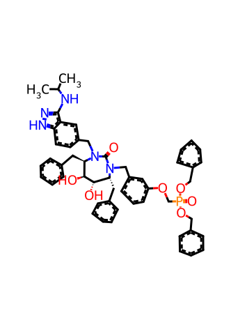 CC(C)Nc1n[nH]c2ccc(CN3C(=O)N(Cc4cccc(OCP(=O)(OCc5ccccc5)OCc5ccccc5)c4)[C@H](Cc4ccccc4)[C@H](O)[C@@H](O)[C@H]3Cc3ccccc3)cc12